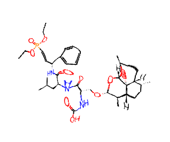 CCOP(=O)(/C=C/[C@@H](NC(=O)[C@H](CC(C)C)NC(=O)[C@H](CO[C@@H]1O[C@@H]2O[C@@]3(C)CC[C@@H]4[C@H](C)CC[C@H]([C@H]1C)[C@@]24OO3)NC(=O)O)c1ccccc1)OCC